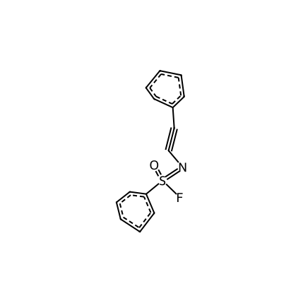 O=S(F)(=NC#Cc1ccccc1)c1ccccc1